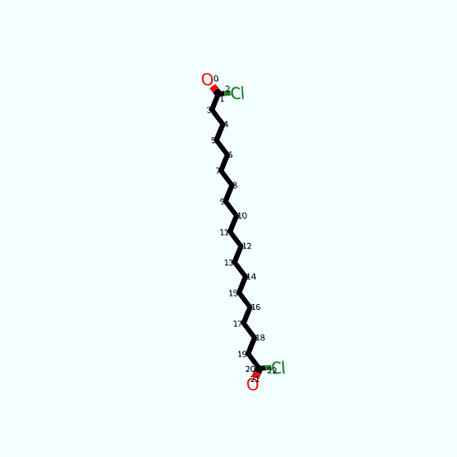 O=C(Cl)CCCCCCCCCCCCCCCCCC(=O)Cl